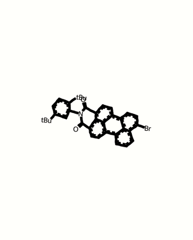 CC(C)(C)c1ccc(C(C)(C)C)c(N2C(=O)c3ccc4c5cccc6c(Br)ccc(c7ccc(c3c47)C2=O)c65)c1